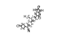 CC[C@H]1CN(c2nc3[nH]c(=O)[nH]c3nc2Cl)CCN1C1CCN(C(C#N)c2ccc(Cl)cc2)CC1